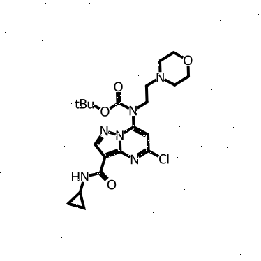 CC(C)(C)OC(=O)N(CCN1CCOCC1)c1cc(Cl)nc2c(C(=O)NC3CC3)cnn12